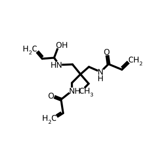 C=CC(=O)NCC(CC)(CNC(=O)C=C)CNC(O)C=C